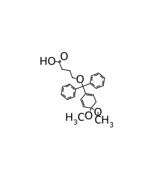 COC1(OC)C=CC(C(OCCCC(=O)O)(c2ccccc2)c2ccccc2)=CC1